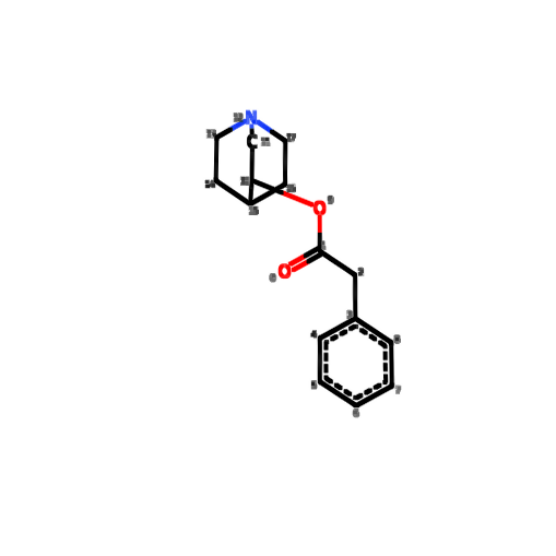 O=C(Cc1ccccc1)OC1CN2CCC1CC2